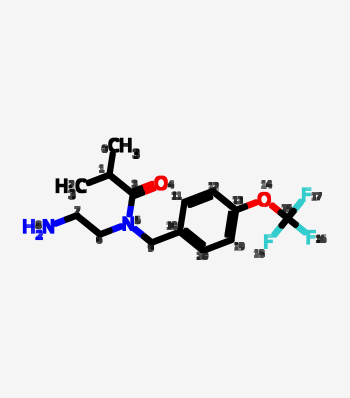 CC(C)C(=O)N(CCN)Cc1ccc(OC(F)(F)F)cc1